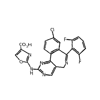 O=C(O)c1coc(Nc2ncc3c(n2)-c2ccc(Cl)cc2C(c2c(F)cccc2F)=NC3)n1